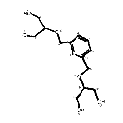 OCC(CO)OCc1cccc(COC(CO)CO)n1